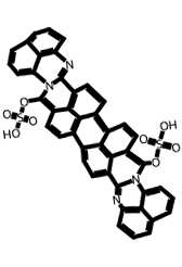 O=S(=O)(O)OC1=c2ccc3c4ccc5c6c(ccc(c7ccc(c2c73)C2=Nc3cccc7cccc(c37)N21)c64)=C(OS(=O)(=O)O)N1C5=Nc2cccc3cccc1c23